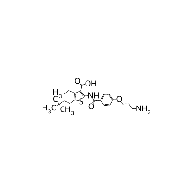 CC(C)(C)C1CCc2c(sc(NC(=O)c3ccc(OCCCN)cc3)c2C(=O)O)C1